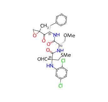 COC[C@H](NC(=O)[C@](C=O)(CSC)Nc1cc(Cl)ccc1Cl)C(=O)N[C@@H](Cc1ccccc1)C(=O)C1(C)CO1